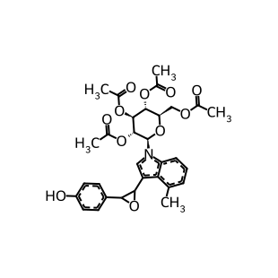 CC(=O)OC[C@H]1O[C@@H](n2cc(C3OC3c3ccc(O)cc3)c3c(C)cccc32)[C@H](OC(C)=O)[C@@H](OC(C)=O)[C@@H]1OC(C)=O